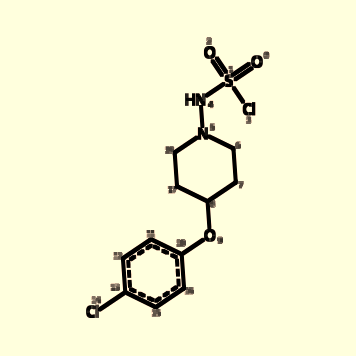 O=S(=O)(Cl)NN1CCC(Oc2ccc(Cl)cc2)CC1